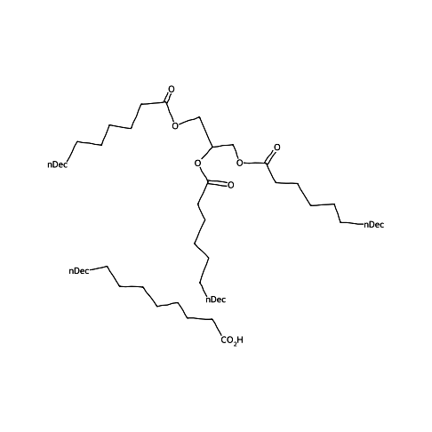 CCCCCCCCCCCCCCCC(=O)OCC(COC(=O)CCCCCCCCCCCCCCC)OC(=O)CCCCCCCCCCCCCCC.CCCCCCCCCCCCCCCCCC(=O)O